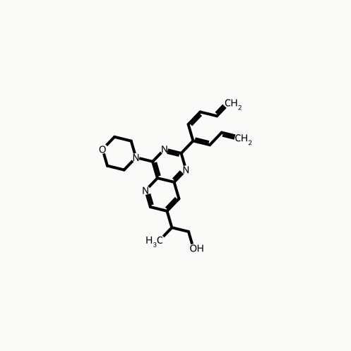 C=C/C=C\C(=C/C=C)c1nc(N2CCOCC2)c2ncc(C(C)CO)cc2n1